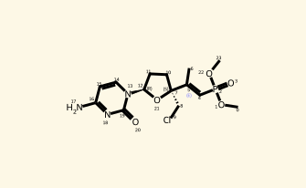 COP(=O)(/C=C(\C)[C@]1(CCl)CC[C@H](n2ccc(N)nc2=O)O1)OC